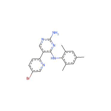 Cc1cc(C)c(Nc2nc(N)ncc2-c2ccc(Br)cn2)c(C)c1